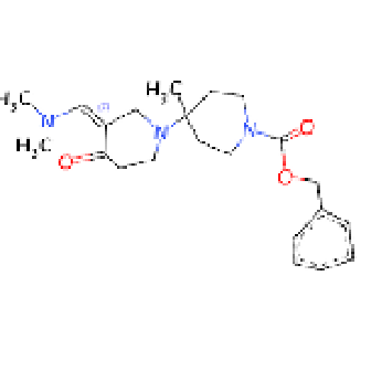 CN(C)/C=C1/CN(C2(C)CCN(C(=O)OCc3ccccc3)CC2)CCC1=O